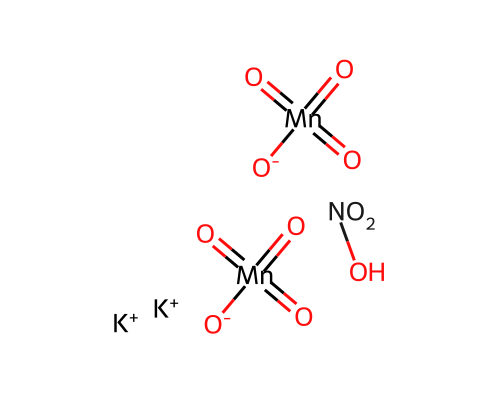 O=[N+]([O-])O.[K+].[K+].[O]=[Mn](=[O])(=[O])[O-].[O]=[Mn](=[O])(=[O])[O-]